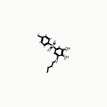 CCCCOc1cc(S(=O)(=O)c2ccc(C)cc2)cc(O)c1O